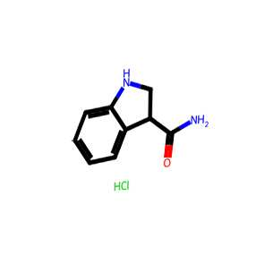 Cl.NC(=O)C1CNc2c[c]ccc21